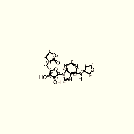 O=C1OCCN1C[C@H]1OC(n2cnc3c(N[C@@H]4CCOC4)ncnc32)[C@H](O)[C@@H]1O